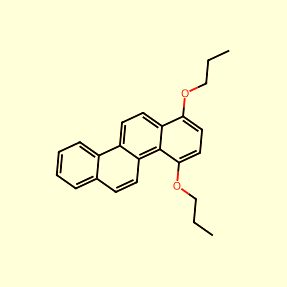 CCCOc1ccc(OCCC)c2c1ccc1c3ccccc3ccc12